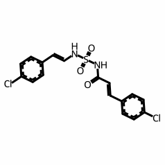 O=C(C=Cc1ccc(Cl)cc1)NS(=O)(=O)NC=Cc1ccc(Cl)cc1